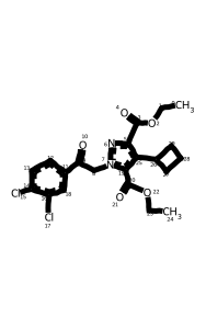 CCOC(=O)c1nn(CC(=O)c2ccc(Cl)c(Cl)c2)c(C(=O)OCC)c1C1CCC1